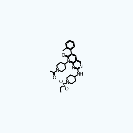 CCS(=O)(=O)N1CCC(Nc2ncc3cc(-c4ccccc4C)c(=O)n(C4CCN(C(C)=O)CC4)c3n2)CC1